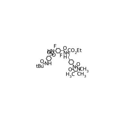 CCOC(=O)[C@H](CCc1ccc(-n2c(=O)c(C)c(C)n(C)c2=O)cc1)NC(=O)c1cc(F)c(NS(=O)(=O)c2ccc(NC(=O)C(C)(C)C)cc2)cc1F